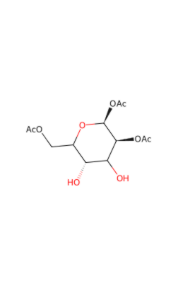 CC(=O)OCC1O[C@@H](OC(C)=O)[C@@H](OC(C)=O)C(O)[C@@H]1O